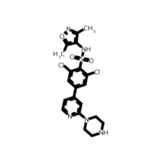 Cc1noc(C)c1NS(=O)(=O)c1c(Cl)cc(-c2ccnc(N3CCNCC3)c2)cc1Cl